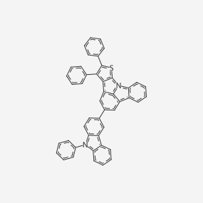 c1ccc(-c2sc3c(c2-c2ccccc2)c2cc(-c4ccc5c(c4)c4ccccc4n5-c4ccccc4)cc4c5ccccc5n3c42)cc1